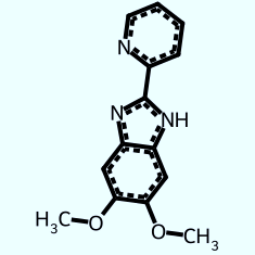 COc1cc2nc(-c3ccccn3)[nH]c2cc1OC